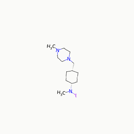 CN1CCN(C[C@H]2CC[C@@H](N(C)I)CC2)CC1